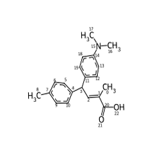 CC(=CC(c1ccc(C)cc1)c1ccc(N(C)C)cc1)C(=O)O